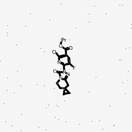 CC(C)OC(=O)c1cc(F)c(-n2nc3n(c2=O)CCC2(CC2)C3)nc1Cl